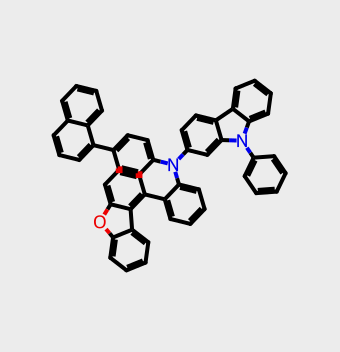 c1ccc(-n2c3ccccc3c3ccc(N(c4ccc(-c5cccc6ccccc56)cc4)c4ccccc4-c4cccc5oc6ccccc6c45)cc32)cc1